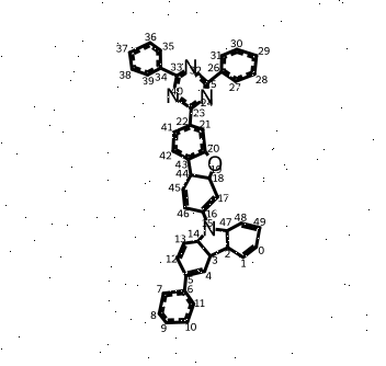 C1=CC2C3C=C(c4ccccc4)C=CC3N(C3=CC4Oc5cc(-c6nc(-c7ccccc7)nc(-c7ccccc7)n6)ccc5C4C=C3)C2C=C1